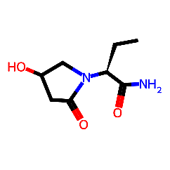 CC[C@@H](C(N)=O)N1CC(O)CC1=O